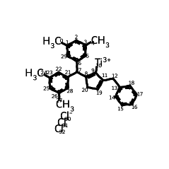 Cc1cc(C)cc(C(C2=[C]([Ti+3])C(Cc3ccccc3)=CC2)c2cc(C)cc(C)c2)c1.[Cl-].[Cl-].[Cl-]